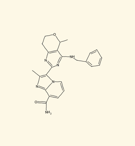 Cc1nc2c(C(N)=O)cccn2c1-c1nc2c(c(NCc3ccccc3)n1)C(C)OCC2